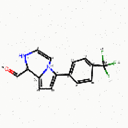 O=CC1NC=Cn2c(-c3ccc(C(F)(F)F)cc3)ccc21